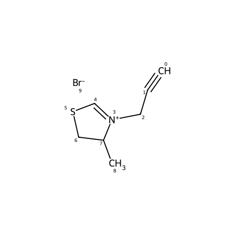 C#CC[N+]1=CSCC1C.[Br-]